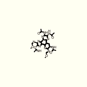 CO/C=N\c1nc2c3nc(NC(C)=O)c(NC(C)=O)nc3c3cc(NC(C)=O)c(/N=C/OC)nc3c2nc1OC(C)=N